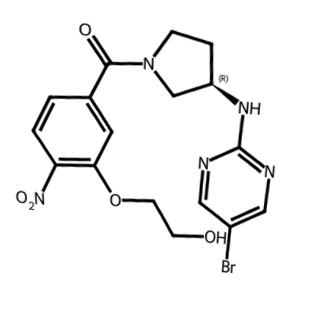 O=C(c1ccc([N+](=O)[O-])c(OCCO)c1)N1CC[C@@H](Nc2ncc(Br)cn2)C1